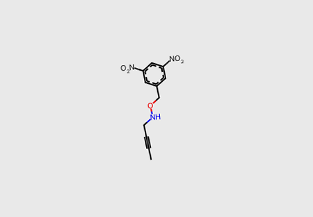 CC#CCNOCc1cc([N+](=O)[O-])cc([N+](=O)[O-])c1